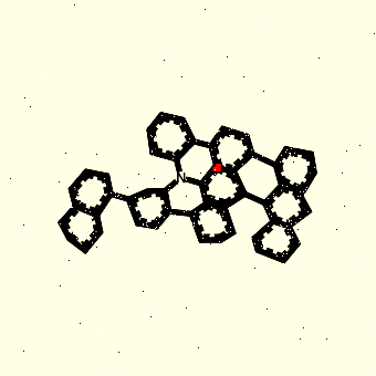 c1ccc(-c2ccc(-c3ccccc3N(c3ccc(-c4cccc5ccccc45)cc3)c3cc(-c4cccc5ccccc45)ccc3-c3ccccc3)cc2)cc1